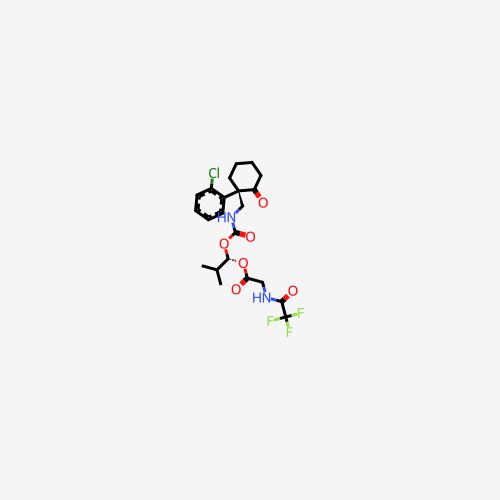 CC(C)[C@@H](OC(=O)CNC(=O)C(F)(F)F)OC(=O)NC[C@@]1(c2ccccc2Cl)CCCCC1=O